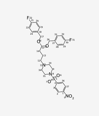 O=[N+]([O-])c1ccc(S(=O)(=O)N2CCN(CCCC(OCc3ccc(F)cc3)OCc3ccc(F)cc3)CC2)cc1